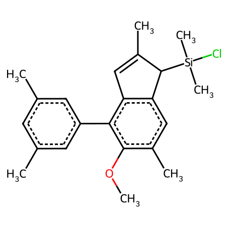 COc1c(C)cc2c(c1-c1cc(C)cc(C)c1)C=C(C)C2[Si](C)(C)Cl